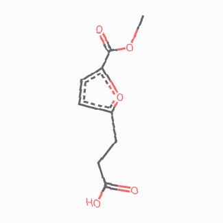 COC(=O)c1ccc(CCC(=O)O)o1